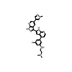 CN(C)CCNc1cc(F)cc(-c2ccnc3[nH]c(-c4n[nH]c5ncc(-c6cnn(C)c6)cc45)cc23)c1